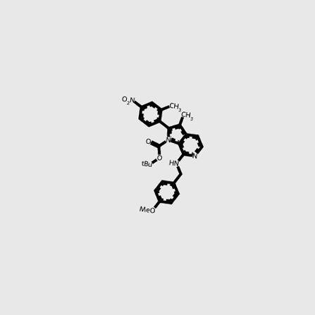 COc1ccc(CNc2nccc3c(C)c(-c4ccc([N+](=O)[O-])cc4C)n(C(=O)OC(C)(C)C)c23)cc1